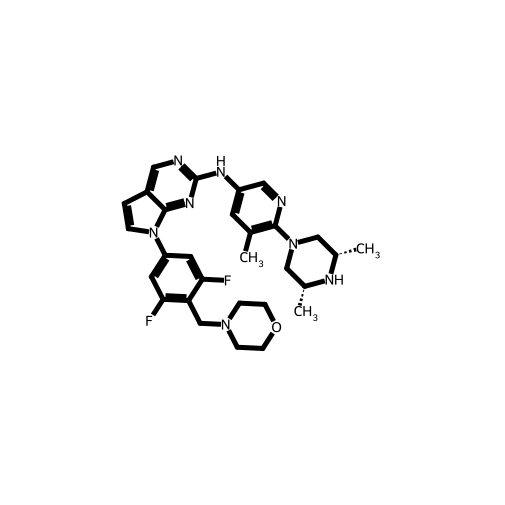 Cc1cc(Nc2ncc3ccn(-c4cc(F)c(CN5CCOCC5)c(F)c4)c3n2)cnc1N1C[C@@H](C)N[C@@H](C)C1